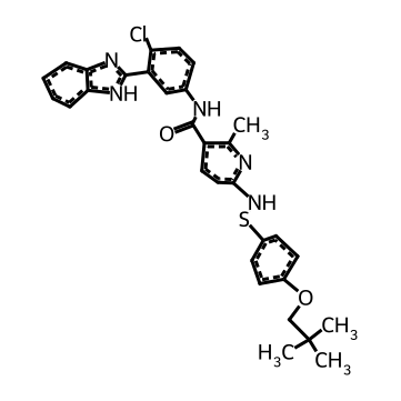 Cc1nc(NSc2ccc(OCC(C)(C)C)cc2)ccc1C(=O)Nc1ccc(Cl)c(-c2nc3ccccc3[nH]2)c1